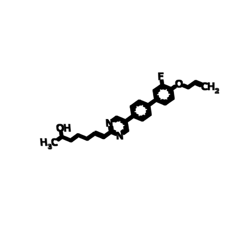 C=CCOc1ccc(-c2ccc(-c3cnc(C=CCCCC(C)O)nc3)cc2)cc1F